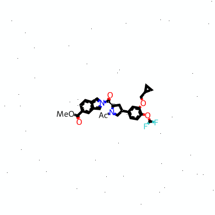 COC(=O)c1ccc2cn(C(=O)[C@H]3CC(c4ccc(OC(F)F)c(OCC5CC5)c4)CN3C(C)=O)cc2c1